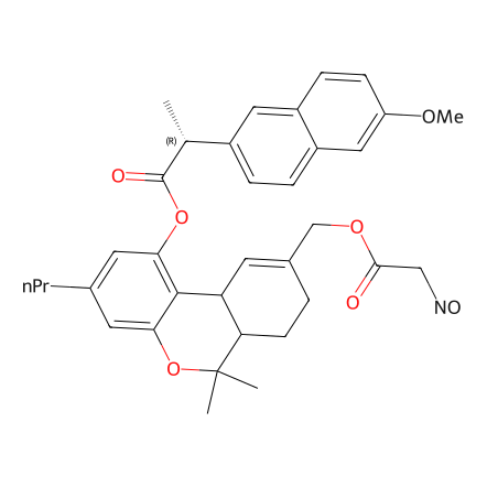 CCCc1cc(OC(=O)[C@H](C)c2ccc3cc(OC)ccc3c2)c2c(c1)OC(C)(C)C1CCC(COC(=O)CN=O)=CC21